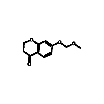 COCOc1ccc2c(c1)OCCC2=O